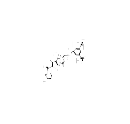 Cc1c(C(=O)N2CCC(F)C2)sc2ncn(CC(=O)Nc3cc(C(F)(F)F)cc(C(F)(F)F)c3)c(=O)c12